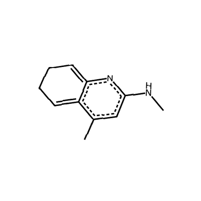 CNc1cc(C)c2c(n1)=CCCC=2